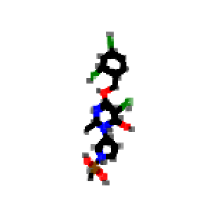 Cc1nc(OCc2ccc(F)cc2F)c(Cl)c(=O)n1-c1ccn(S(C)(=O)=O)c1